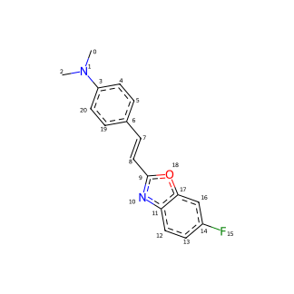 CN(C)c1ccc(C=Cc2nc3ccc(F)cc3o2)cc1